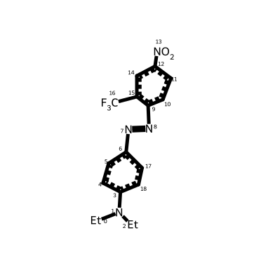 CCN(CC)c1ccc(N=Nc2ccc([N+](=O)[O-])cc2C(F)(F)F)cc1